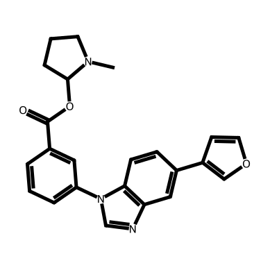 CN1CCCC1OC(=O)c1cccc(-n2cnc3cc(-c4ccoc4)ccc32)c1